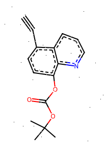 C#Cc1ccc(OC(=O)OC(C)(C)C)c2ncccc12